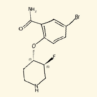 NC(=O)c1cc(Br)ccc1O[C@H]1CCNC[C@@H]1F